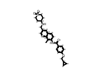 Cc1c(NC(=O)c2ccc(OCC3CC3)cc2)ccc2cc(CNC3CCS(=O)(=O)CC3)cnc12